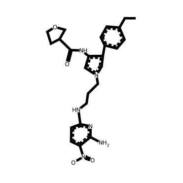 CCc1ccc(-c2cn(CCCNc3ccc([N+](=O)[O-])c(N)n3)cc2NC(=O)C2CCOC2)cc1